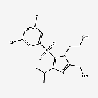 CC(C)c1nc(CO)n(CCO)c1S(=O)(=O)c1cc(Cl)cc(Cl)c1